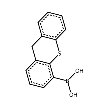 OB(O)c1cccc2c1Sc1ccccc1C2